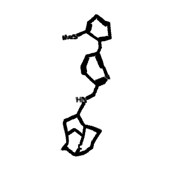 CSc1ccccc1-c1ccc(CNC2CC3CC4CCC2C(C4)C3)nc1